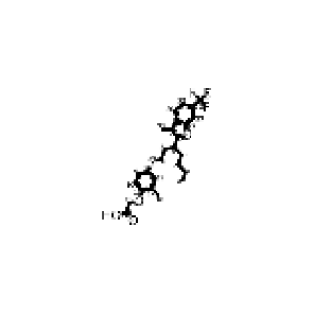 CCCCC(CCSc1ccc(OCC(=O)O)c(C)c1)c1oc2cc(C(F)(F)F)ccc2c1C